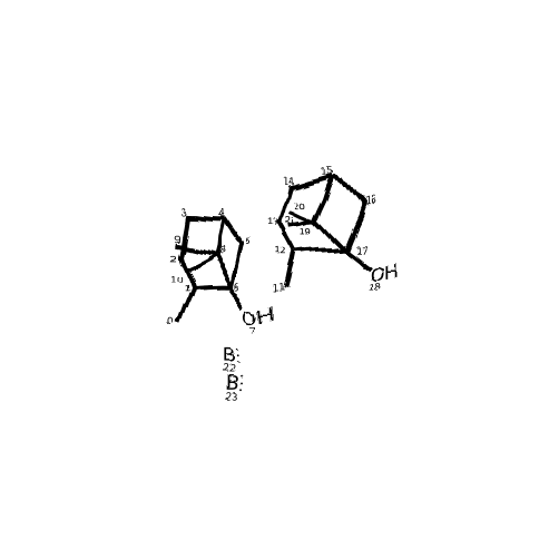 CC1CCC2CC1(O)C2(C)C.CC1CCC2CC1(O)C2(C)C.[B].[B]